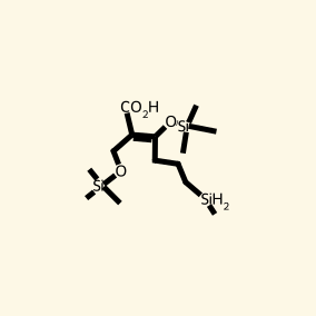 C[SiH2]CCCC(O[Si](C)(C)C)=C(CO[Si](C)(C)C)C(=O)O